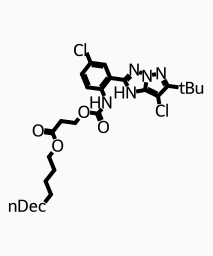 CCCCCCCCCCCCCCOC(=O)CCOC(=O)Nc1ccc(Cl)cc1-c1nn2nc(C(C)(C)C)c(Cl)c2[nH]1